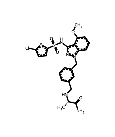 COc1cccc2c1c(NS(=O)(=O)c1ccc(Cl)s1)nn2Cc1cccc(CN[C@@H](C)C(N)=O)c1